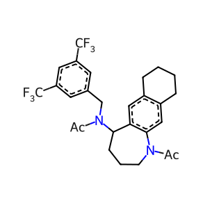 CC(=O)N1CCCC(N(Cc2cc(C(F)(F)F)cc(C(F)(F)F)c2)C(C)=O)c2cc3c(cc21)CCCC3